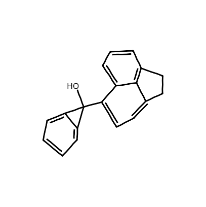 OC1(c2ccc3c4c(cccc24)CC3)c2ccccc21